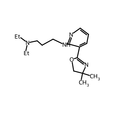 CCN(CC)CCCNc1ncccc1C1=NC(C)(C)CO1